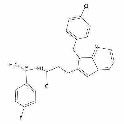 C[C@H](NC(=O)CCc1cc2cccnc2n1Cc1ccc(Cl)cc1)c1ccc(F)cc1